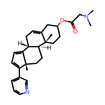 CN(C)CC(=O)O[C@H]1CC[C@@]2(C)C(=CC[C@H]3C4=CC=C(c5cccnc5)[C@@]4(C)CC[C@@H]32)C1